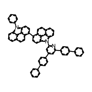 c1ccc(-c2ccc(-c3cc(-c4ccc(-c5ccccc5)cc4)nc(-n4c5cccc6ccc7c(-c8ccc9c%10c8ccc8cccc(c8%10)n9-c8ccccc8)ccc4c7c65)c3)cc2)cc1